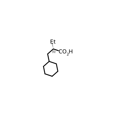 CC[C@@H](CC1CCCCC1)C(=O)O